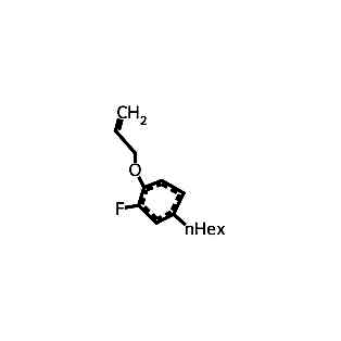 C=CCOc1ccc(CCCCCC)cc1F